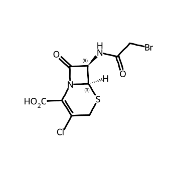 O=C(CBr)N[C@@H]1C(=O)N2C(C(=O)O)=C(Cl)CS[C@H]12